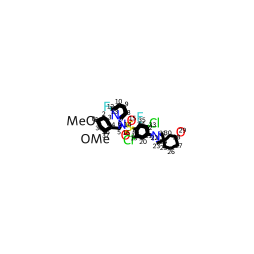 COc1ccc(CN(c2cccc(F)n2)S(=O)(=O)c2c(Cl)cc(N3CC4(CCCC(=O)C4)C3)c(Cl)c2F)c(OC)c1